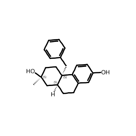 C[C@]1(O)CC[C@@]2(Cc3ccccc3)c3ccc(O)cc3CC[C@H]2C1